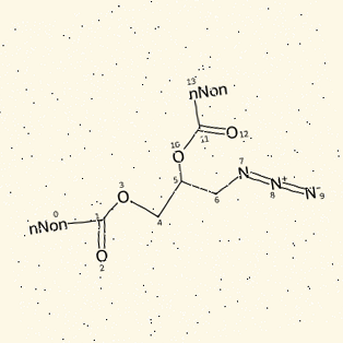 CCCCCCCCCC(=O)OCC(CN=[N+]=[N-])OC(=O)CCCCCCCCC